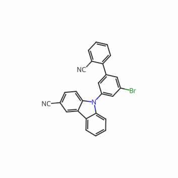 N#Cc1ccc2c(c1)c1ccccc1n2-c1cc(Br)cc(-c2ccccc2C#N)c1